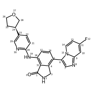 O=C1NCc2c(-c3cnc4cc(F)ccn34)ccc(Nc3ccc([C@H]4CCOC4)cn3)c21